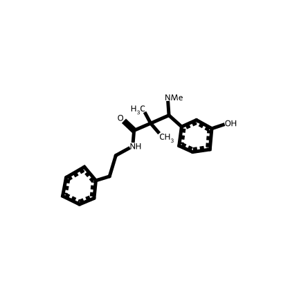 CNC(c1cccc(O)c1)C(C)(C)C(=O)NCCc1ccccc1